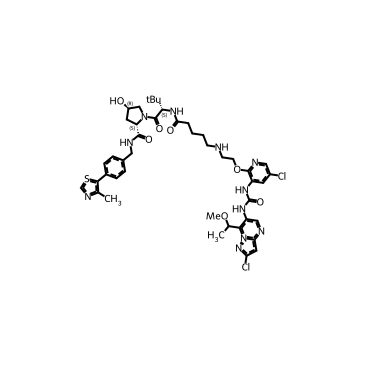 COC(C)c1c(NC(=O)Nc2cc(Cl)cnc2OCCNCCCCC(=O)N[C@H](C(=O)N2C[C@H](O)C[C@H]2C(=O)NCc2ccc(-c3scnc3C)cc2)C(C)(C)C)cnc2cc(Cl)nn12